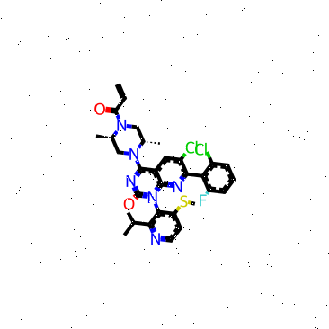 C=CC(=O)N1C[C@H](C)N(c2nc(=O)n(-c3c(SC)ccnc3C(C)C)c3nc(-c4c(F)cccc4Cl)c(Cl)cc23)C[C@H]1C